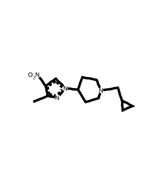 Cc1nn(C2CCN(CC3CC3)CC2)cc1[N+](=O)[O-]